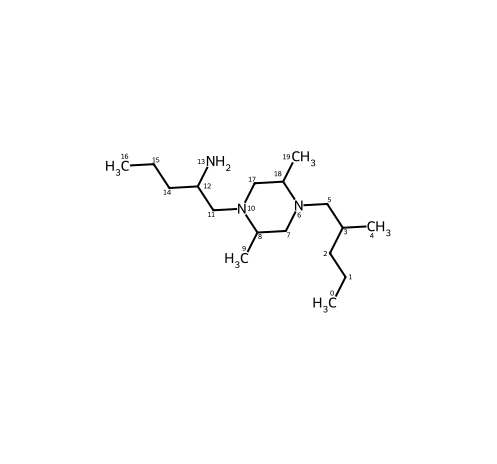 CCCC(C)CN1CC(C)N(CC(N)CCC)CC1C